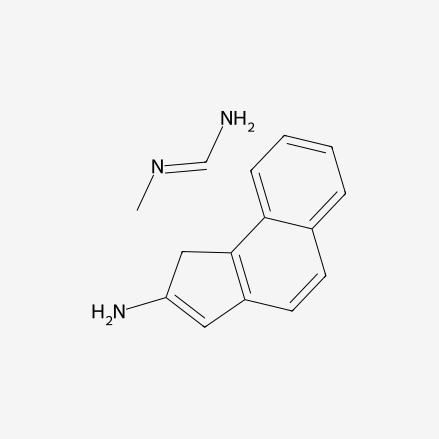 CN=CN.NC1=Cc2ccc3ccccc3c2C1